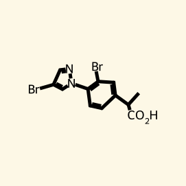 CC(C(=O)O)c1ccc(-n2cc(Br)cn2)c(Br)c1